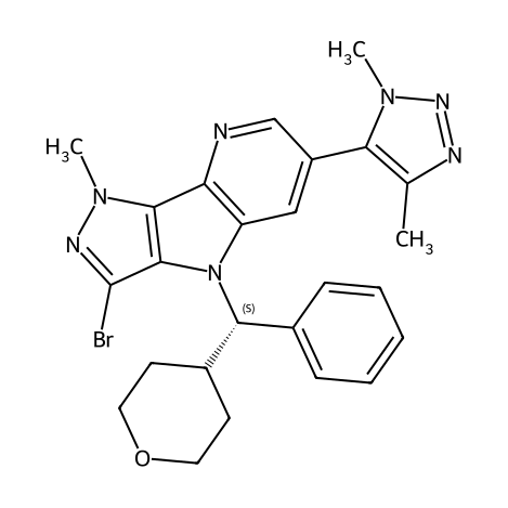 Cc1nnn(C)c1-c1cnc2c3c(c(Br)nn3C)n([C@H](c3ccccc3)C3CCOCC3)c2c1